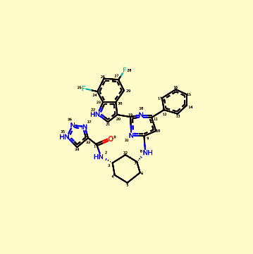 O=C(N[C@H]1CCC[C@@H](Nc2cc(-c3ccccc3)nc(-c3c[nH]c4c(F)cc(F)cc34)n2)C1)c1c[nH]nn1